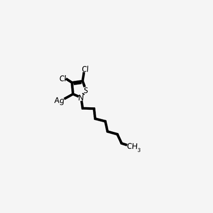 CCCCCCCCN1SC(Cl)=C(Cl)[CH]1[Ag]